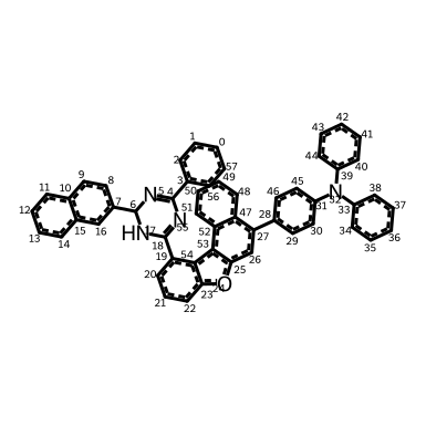 c1ccc(C2=NC(c3ccc4ccccc4c3)NC(c3cccc4oc5cc(-c6ccc(N(c7ccccc7)c7ccccc7)cc6)c6ccccc6c5c34)=N2)cc1